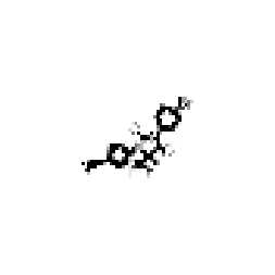 CC1(C(F)(F)F)C(=O)N(c2ccc(Br)cc2)C(=O)N1c1ccc(C#N)cc1